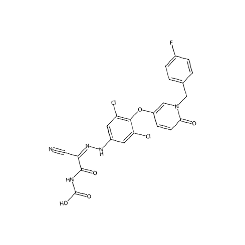 N#CC(=NNc1cc(Cl)c(Oc2ccc(=O)n(Cc3ccc(F)cc3)c2)c(Cl)c1)C(=O)NC(=O)O